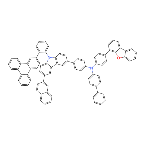 c1ccc(-c2ccc(N(c3ccc(-c4ccc5c(c4)c4cc(-c6ccc7ccccc7c6)ccc4n5-c4ccccc4-c4ccc5c6ccccc6c6ccccc6c5c4)cc3)c3ccc(-c4cccc5c4oc4ccccc45)cc3)cc2)cc1